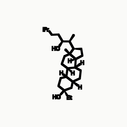 CC[C@]1(O)CC[C@H]2[C@H](CC[C@@H]3[C@@H]2CC[C@]2(C)[C@@H]([C@H](C)[C@@H](O)CCC(C)C)CC[C@@H]32)C1